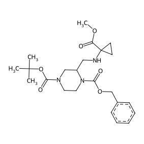 COC(=O)C1(NCC2CN(C(=O)OC(C)(C)C)CCN2C(=O)OCc2ccccc2)CC1